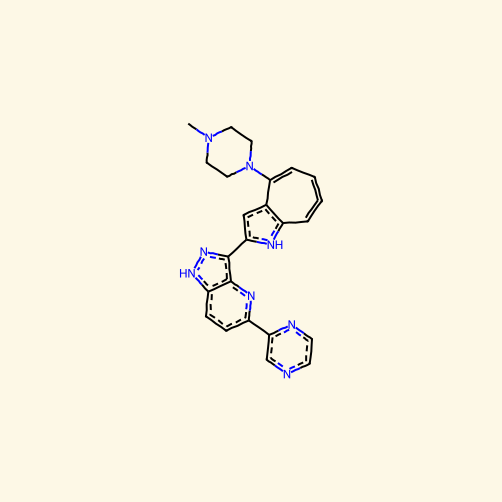 CN1CCN(C2=CC=C=Cc3[nH]c(-c4n[nH]c5ccc(-c6cnccn6)nc45)cc32)CC1